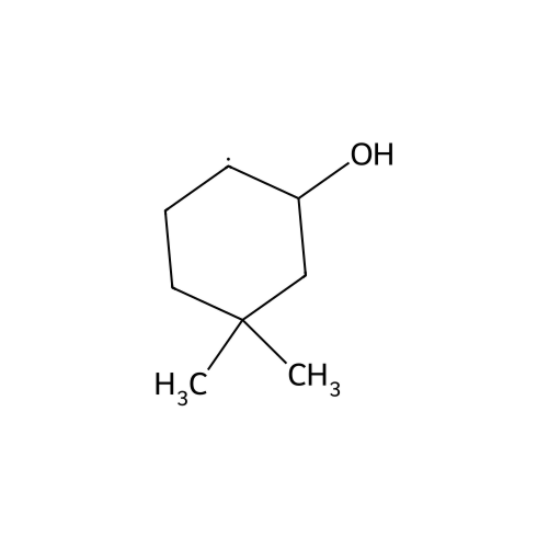 CC1(C)CC[CH]C(O)C1